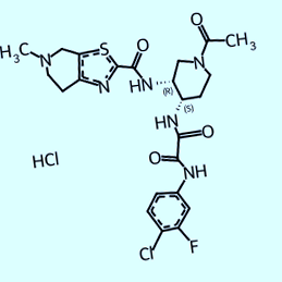 CC(=O)N1CC[C@H](NC(=O)C(=O)Nc2ccc(Cl)c(F)c2)[C@H](NC(=O)c2nc3c(s2)CN(C)CC3)C1.Cl